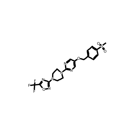 CS(=O)(=O)c1ccc(COc2cnc(N3CCN(c4noc(C(F)(F)F)n4)CC3)nc2)cc1